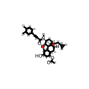 CC(=O)Oc1cc(O)c2c3c1C[C@@H]1[C@@H]4CC[C@@H](N(C)C(=O)C#Cc5ccc(C)c(C)c5)[C@H](O2)[C@]34CCN1CC1CC1